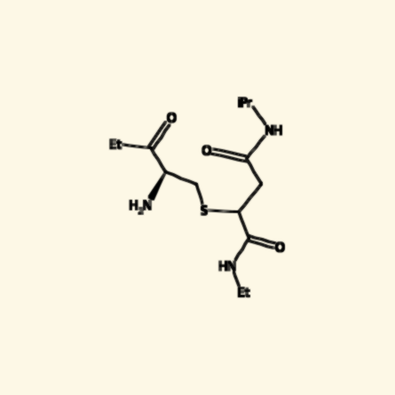 CCNC(=O)C(CC(=O)NC(C)C)SC[C@@H](N)C(=O)CC